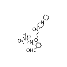 CN(Cc1c(C=O)cccc1OCCCC(=O)N1CCN(c2ccccc2)CC1)C1CCC(=O)NC1=O